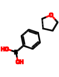 C1CCOC1.OB(O)c1ccccc1